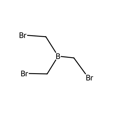 BrCB(CBr)CBr